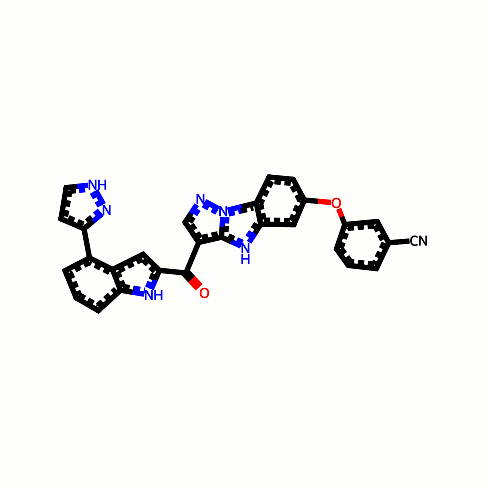 N#Cc1cccc(Oc2ccc3c(c2)[nH]c2c(C(=O)c4cc5c(-c6cc[nH]n6)cccc5[nH]4)cnn23)c1